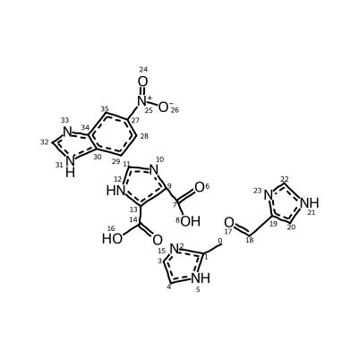 Cc1ncc[nH]1.O=C(O)c1nc[nH]c1C(=O)O.O=Cc1c[nH]cn1.O=[N+]([O-])c1ccc2[nH]cnc2c1